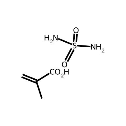 C=C(C)C(=O)O.NS(N)(=O)=O